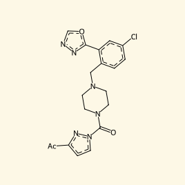 CC(=O)c1ccn(C(=O)N2CCN(Cc3ccc(Cl)cc3-c3nnco3)CC2)n1